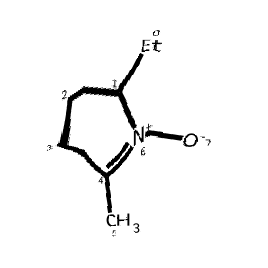 CCC1CCC(C)=[N+]1[O-]